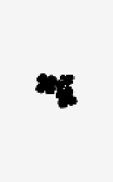 Cc1cc(C)c(-c2cc(-c3cccc([Si](c4ccccc4)(c4ccccc4)c4ccccc4)c3)nc(-c3cccc([Si](c4ccccc4)(c4ccccc4)c4ccccc4)c3)c2)c(C)c1